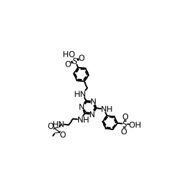 CS(=O)(=O)NCCNc1nc(NCc2ccc(S(=O)(=O)O)cc2)nc(Nc2cccc(S(=O)(=O)O)c2)n1